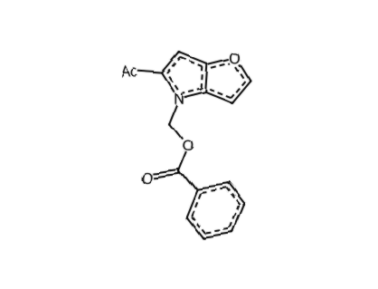 CC(=O)c1cc2occc2n1COC(=O)c1ccccc1